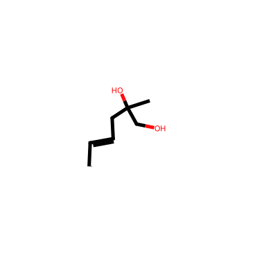 [CH2]C=CCC(C)(O)CO